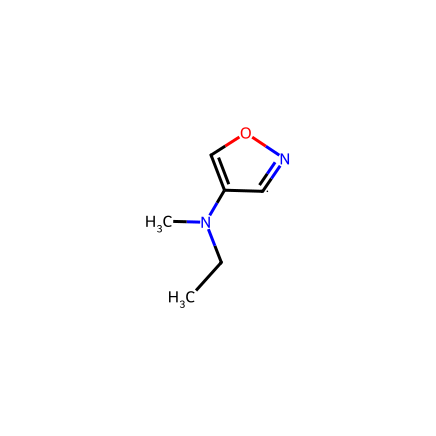 CCN(C)c1[c]noc1